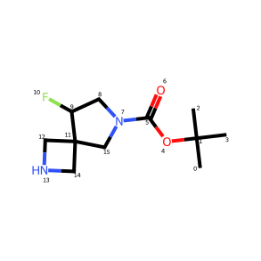 CC(C)(C)OC(=O)N1CC(F)C2(CNC2)C1